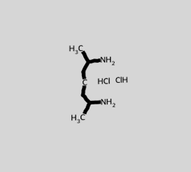 CC(N)CCCC(C)N.Cl.Cl